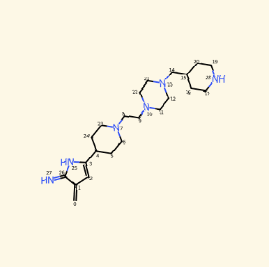 C=C1C=C(C2CCN(CCN3CCN(CC4CCNCC4)CC3)CC2)NC1=N